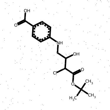 CC(C)(C)OC(=O)C(Cl)C(O)CNc1ccc(C(=O)O)cc1